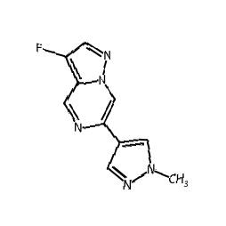 Cn1cc(-c2cn3ncc(F)c3cn2)cn1